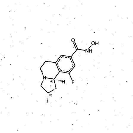 C[C@H]1C[C@@H]2c3c(F)cc(C(=O)NO)cc3CCN2C1